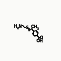 CC(SSCCN)c1ccc(C(=O)O)cc1